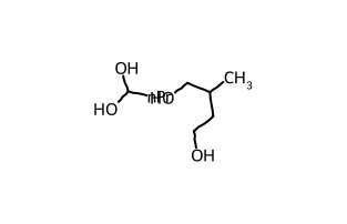 CC(CO)CCO.CCCC(O)O